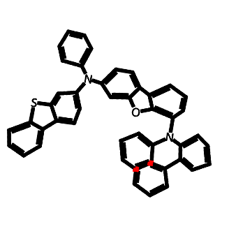 c1ccc(-c2ccccc2N(c2ccccc2)c2cccc3c2oc2cc(N(c4ccccc4)c4ccc5c(c4)sc4ccccc45)ccc23)cc1